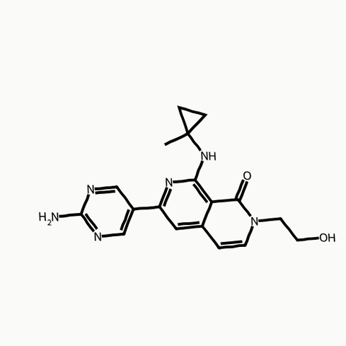 CC1(Nc2nc(-c3cnc(N)nc3)cc3ccn(CCO)c(=O)c23)CC1